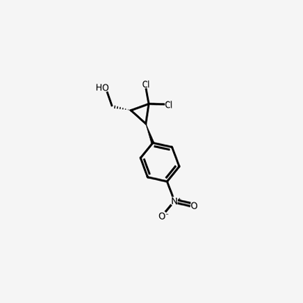 O=[N+]([O-])c1ccc([C@H]2[C@H](CO)C2(Cl)Cl)cc1